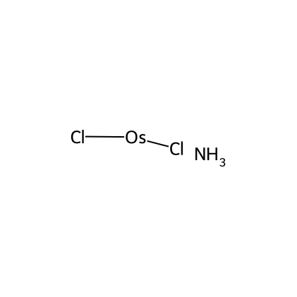 N.[Cl][Os][Cl]